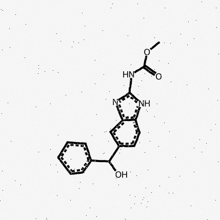 COC(=O)Nc1nc2cc(C(O)c3ccccc3)ccc2[nH]1